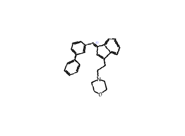 C1=C(CCN2CCOCC2)c2ccccc2/C1=C/c1cccc(-c2ccccc2)c1